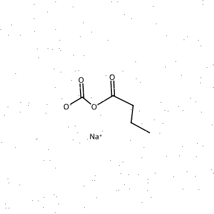 CCCC(=O)OC(=O)[O-].[Na+]